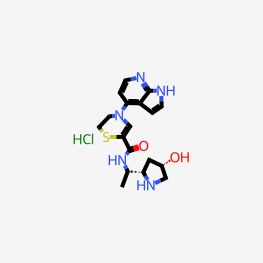 CC(NC(=O)C1=CN(c2ccnc3[nH]ccc23)CCS1)[C@@H]1C[C@H](O)CN1.Cl